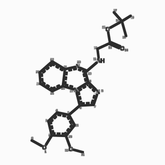 COc1ccc(-c2cnc3c(NCC(=O)OC(C)(C)C)nc4ccccc4n23)cc1OC